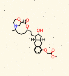 COC(=O)COc1cccc2c1C[C@H]1C[C@@H](O)[C@H](CC[C@H]3CCCC(C)N4CCO[C@H](C4)C(=O)O3)[C@H]1C2